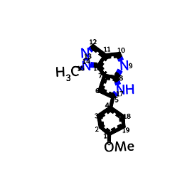 COc1ccc(-c2cc3c(ncc4cnn(C)c43)[nH]2)cc1